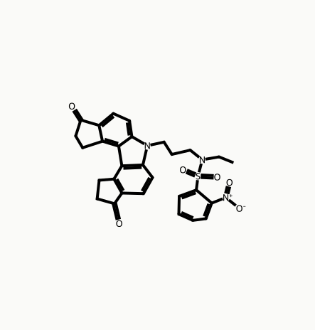 CCN(CCCn1c2ccc3c(c2c2c4c(ccc21)C(=O)CC4)CCC3=O)S(=O)(=O)c1ccccc1[N+](=O)[O-]